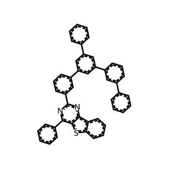 c1ccc(-c2cccc(-c3cc(-c4ccccc4)cc(-c4cccc(-c5nc(-c6ccccc6)c6sc7ccccc7c6n5)c4)c3)c2)cc1